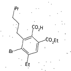 CCOC(=O)c1cc(CC)c(Br)c(CCCC(C)C)c1C(=O)O